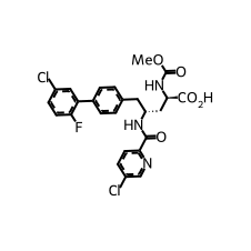 COC(=O)N[C@H](C[C@@H](Cc1ccc(-c2cc(Cl)ccc2F)cc1)NC(=O)c1ccc(Cl)cn1)C(=O)O